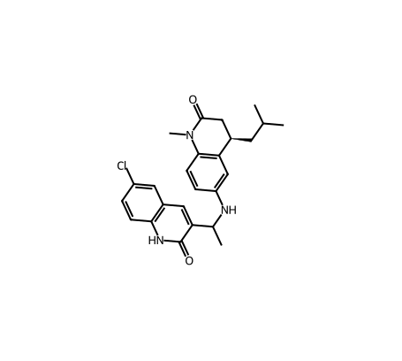 CC(C)C[C@@H]1CC(=O)N(C)c2ccc(NC(C)c3cc4cc(Cl)ccc4[nH]c3=O)cc21